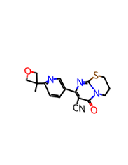 CC1(c2ccc(-c3nc4n(c(=O)c3C#N)CCCS4)cn2)COC1